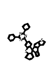 c1ccc(-c2nc(-c3ccccc3)nc(-c3ccc4c(c3)Sc3ccccc3C43c4ccccc4-c4c3ccc3sccc43)n2)cc1